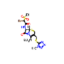 CCS(=O)(=O)C(Br)C(=O)NC1C(=O)N2C(C(=O)O)=C(CSc3nnnn3C)CS[C@@H]12